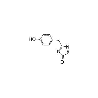 O=C1C=NC(Cc2ccc(O)cc2)=N1